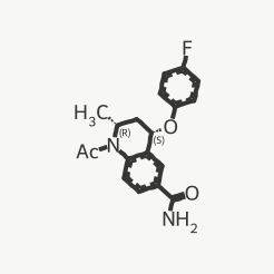 CC(=O)N1c2ccc(C(N)=O)cc2[C@@H](Oc2ccc(F)cc2)C[C@H]1C